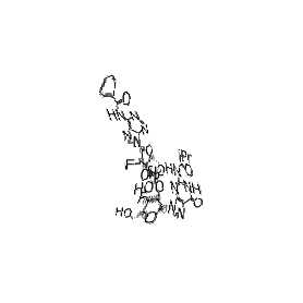 CC(C)C(=O)Nc1nc2c(ncn2[C@@H]2O[C@H](CO)[C@@H](F)[C@H]2OP(O)(=S)OC[C@H]2O[C@@H](n3cnc4c(NC(=O)c5ccccc5)ncnc43)[C@H](F)[C@@H]2O)c(=O)[nH]1